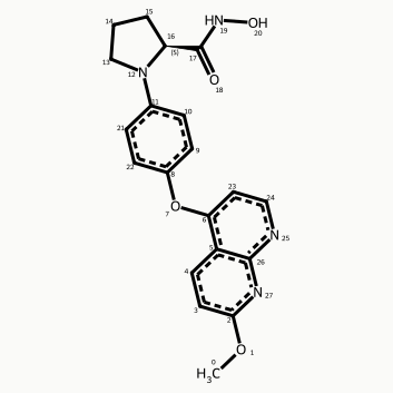 COc1ccc2c(Oc3ccc(N4CCC[C@H]4C(=O)NO)cc3)ccnc2n1